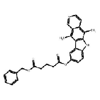 Cc1c2ccncc2c(C)c2c1[nH]c1ccc(OC(=O)CCCC(=O)OCc3ccccc3)cc12